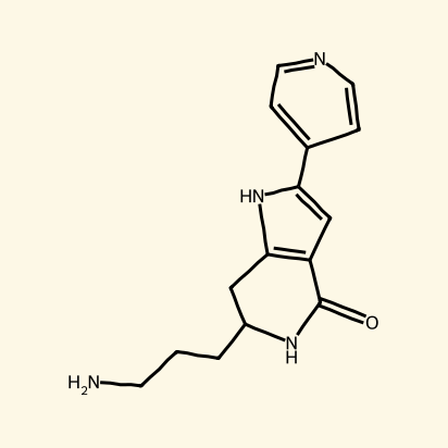 NCCCC1Cc2[nH]c(-c3ccncc3)cc2C(=O)N1